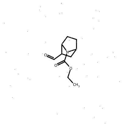 CCOC(=O)N1C2CCC1C(C=O)C2